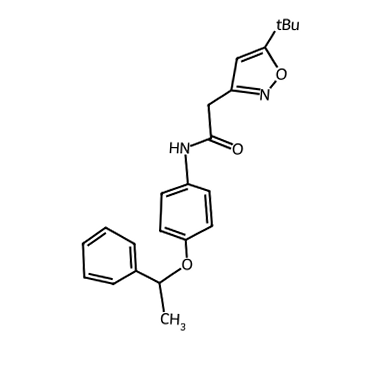 CC(Oc1ccc(NC(=O)Cc2cc(C(C)(C)C)on2)cc1)c1ccccc1